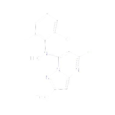 CCOC(=O)c1cc2nc(Cl)cc(N(C)c3c(F)cccc3Cl)n2n1